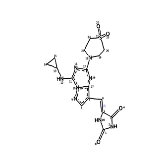 O=C1NC(=O)/C(=C/c2cnn3c(NC4CC4)nc(N4CCS(=O)(=O)CC4)nc23)N1